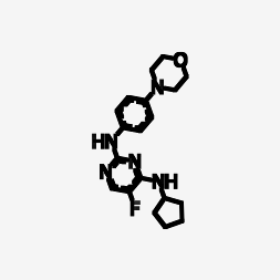 Fc1cnc(Nc2ccc(N3CCOCC3)cc2)nc1NC1CCCC1